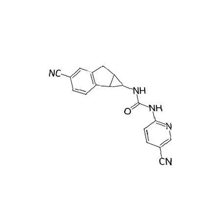 N#Cc1ccc(NC(=O)NC2C3Cc4cc(C#N)ccc4C32)nc1